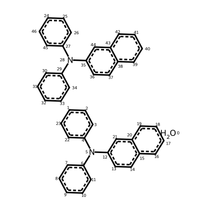 O.c1ccc(N(c2ccccc2)c2ccc3ccccc3c2)cc1.c1ccc(N(c2ccccc2)c2ccc3ccccc3c2)cc1